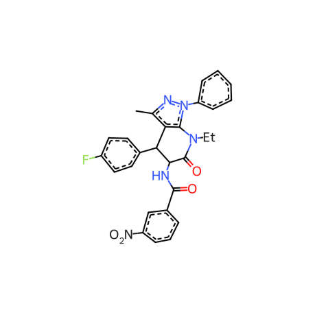 CCN1C(=O)C(NC(=O)c2cccc([N+](=O)[O-])c2)C(c2ccc(F)cc2)c2c(C)nn(-c3ccccc3)c21